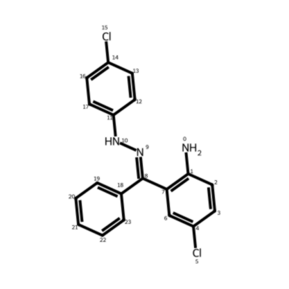 Nc1ccc(Cl)cc1/C(=N/Nc1ccc(Cl)cc1)c1ccccc1